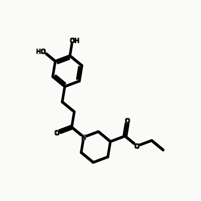 CCOC(=O)C1CCCN(C(=O)CCc2ccc(O)c(O)c2)C1